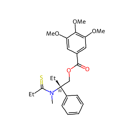 CCC(=S)N(C)[C@](CC)(COC(=O)c1cc(OC)c(OC)c(OC)c1)c1ccccc1